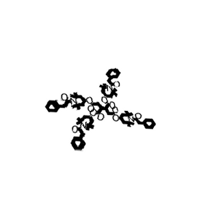 CC1(C)CC(OC(=O)CC(C(=O)OC2CC(C)(C)N(C(=O)Cc3ccccc3)C(C)(C)C2)C(CC(=O)OC2CC(C)(C)N(C(=O)Cc3ccccc3)C(C)(C)C2)C(=O)OC2CC(C)(C)N(C(=O)Cc3ccccc3)C(C)(C)C2)CC(C)(C)N1C(=O)Cc1ccccc1